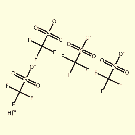 O=S(=O)([O-])C(F)(F)F.O=S(=O)([O-])C(F)(F)F.O=S(=O)([O-])C(F)(F)F.O=S(=O)([O-])C(F)(F)F.[Hf+4]